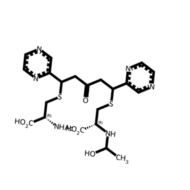 CC(=O)N[C@@H](CSC(CC(=O)CC(SC[C@H](NC(C)O)C(=O)O)c1cnccn1)c1cnccn1)C(=O)O